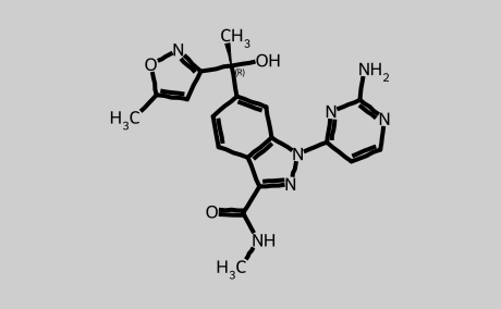 CNC(=O)c1nn(-c2ccnc(N)n2)c2cc([C@@](C)(O)c3cc(C)on3)ccc12